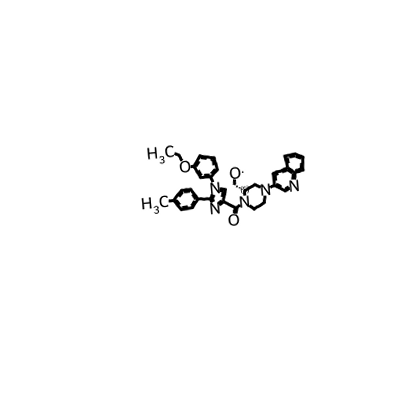 CCOc1cccc(-n2cc(C(=O)N3CCN(c4cnc5ccccc5c4)C[C@H]3C[O])nc2-c2ccc(C)cc2)c1